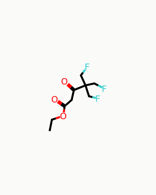 CCOC(=O)CC(=O)C(CF)(CF)CF